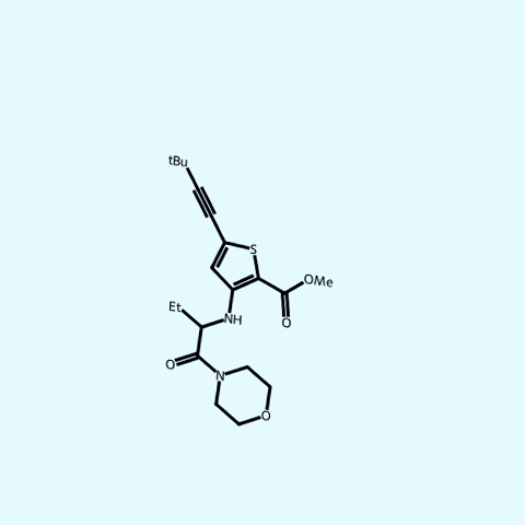 CCC(Nc1cc(C#CC(C)(C)C)sc1C(=O)OC)C(=O)N1CCOCC1